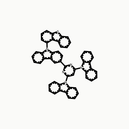 c1ccc2c(c1)sc1cccc(-n3c4ccccc4c4cc(-c5nc(-n6c7ccccc7c7ccccc76)cc(-n6c7ccccc7c7ccccc76)n5)ccc43)c12